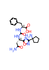 NC(=O)C[C@H](NC(=O)N[C@@H](Cc1ccccc1)C(=O)O)c1nc(C2(N)CCCC2)no1